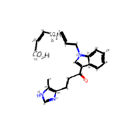 C=CCn1cc(C(=O)CCc2nc[nH]c2C)c2ccccc21.O=C(O)/C=C\C(=O)O